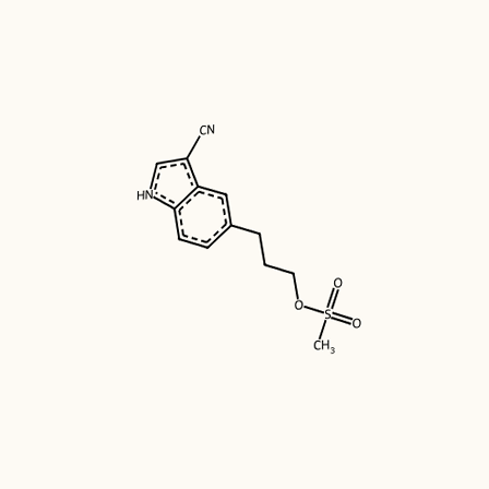 CS(=O)(=O)OCCCc1ccc2[nH]cc(C#N)c2c1